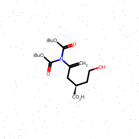 C=C(C[C@@H](CCO)C(=O)O)N(C(=O)OCC(C)C)C(=O)OCC(C)C